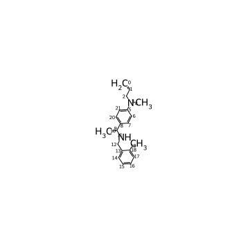 C=CCN(C)c1ccc(C(C)NCc2ccccc2C)cc1